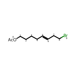 CC(=O)OCCCC/C=C/CCBr